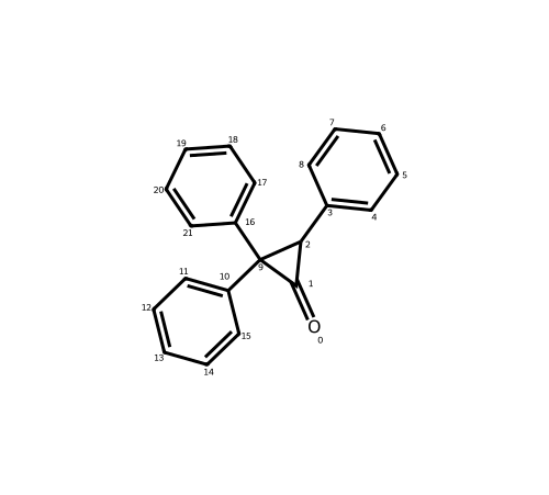 O=C1C(c2ccccc2)C1(c1ccccc1)c1ccccc1